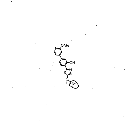 COc1cc(-c2ccc(-c3nnc(OC4CC5CCC(C4)N5C)s3)c(O)c2)ccn1